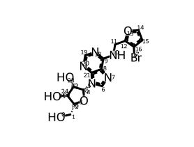 OC[C@H]1O[C@@H](n2cnc3c(NCc4occc4Br)ncnc32)[C@@H](O)[C@@H]1O